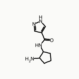 NC1CCCC1NC(=O)c1cn[nH]c1